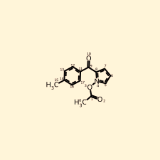 CC(=O)On1cccc1C(=O)c1ccc(C)cc1